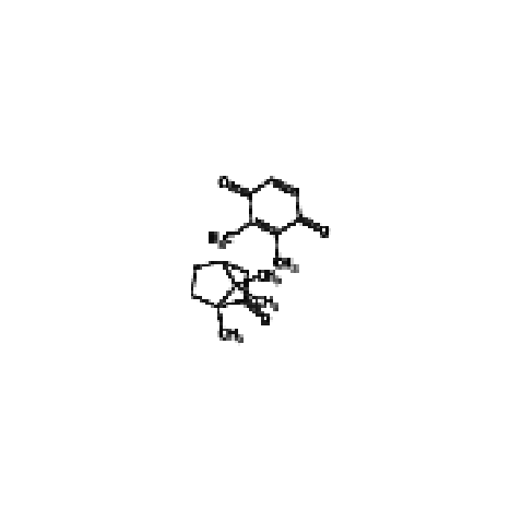 CC12CCC(CC1=O)C2(C)C.CC1=C(C)C(=O)C=CC1=O